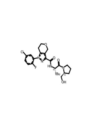 CC(C)(C)[C@H](NC(=O)c1nn(-c2cc(Cl)ccc2F)c2c1COCC2)C(=O)N1CCC[C@H]1CO